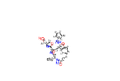 CC(C)(C)C1NC(=O)CCc2ccc3c(c2)C(c2oc1nc2-c1nc(CO)co1)[C@H](Nc1ccccc1)O3